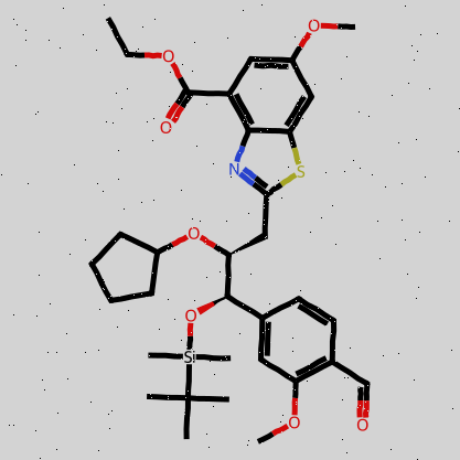 CCOC(=O)c1cc(OC)cc2sc(C[C@H](OC3CCCC3)[C@H](O[Si](C)(C)C(C)(C)C)c3ccc(C=O)c(OC)c3)nc12